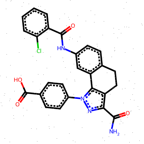 NC(=O)c1nn(-c2ccc(C(=O)O)cc2)c2c1CCc1ccc(NC(=O)c3ccccc3Cl)cc1-2